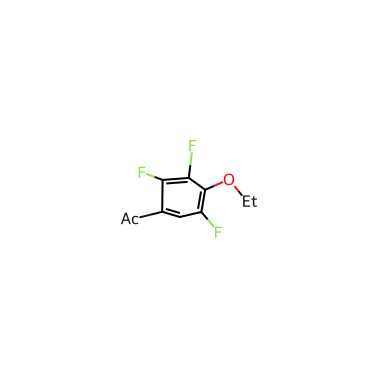 CCOc1c(F)cc(C(C)=O)c(F)c1F